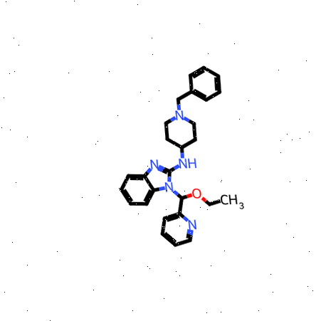 CCOC(c1ccccn1)n1c(NC2CCN(Cc3ccccc3)CC2)nc2ccccc21